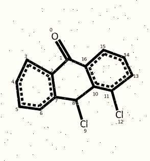 O=C1c2ccccc2C(Cl)c2c(Cl)cccc21